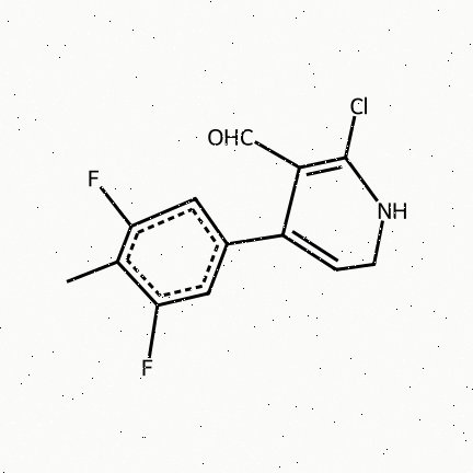 Cc1c(F)cc(C2=CCNC(Cl)=C2C=O)cc1F